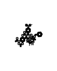 CC(=O)Oc1ccc(C(C(=O)N[C@@]2(C(=O)OCc3ccccc3)N3C(=S)[C@@H](C)[C@H]3SC2(C)C)N(Cc2ccc([N+](=O)[O-])cc2)C(=O)O)cc1OC(C)=O